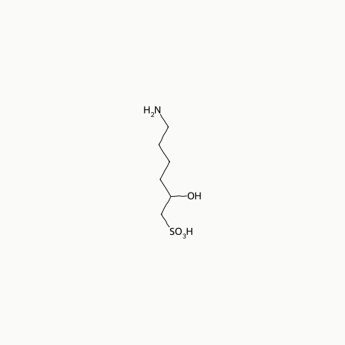 NCCCCC(O)CS(=O)(=O)O